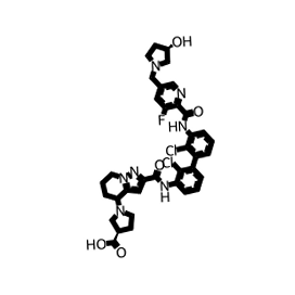 O=C(Nc1cccc(-c2cccc(NC(=O)c3ncc(CN4CC[C@@H](O)C4)cc3F)c2Cl)c1Cl)c1cc2n(n1)CCCC2N1CC[C@@H](C(=O)O)C1